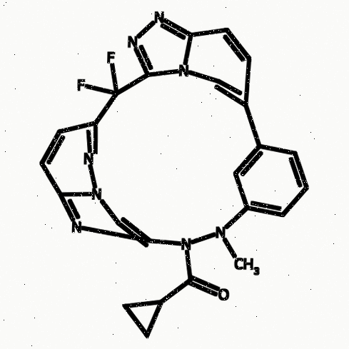 CN1c2cccc(c2)-c2ccc3nnc(n3c2)C(F)(F)c2ccc3nc(cn3n2)N1C(=O)C1CC1